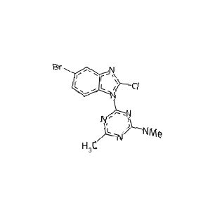 CNc1nc(C)nc(-n2c(Cl)nc3cc(Br)ccc32)n1